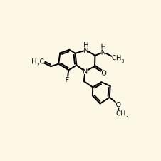 C=Cc1ccc2c(c1F)N(Cc1ccc(OC)cc1)C(=O)C(NC)N2